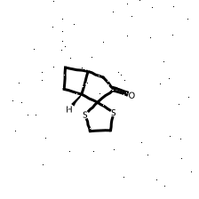 O=C1CC2CC[C@H]2C12SCCS2